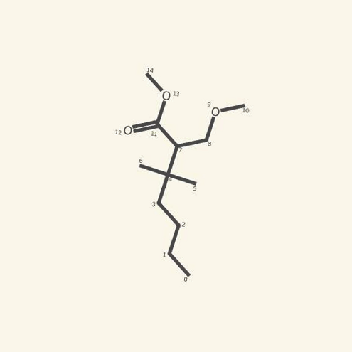 CCCCC(C)(C)C(COC)C(=O)OC